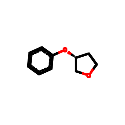 c1ccc(O[C@@H]2CCOC2)cc1